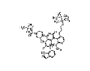 CC(C)c1nccc(CCCO[Si](C)(C)C(C)(C)C)c1-n1c(=O)nc(N2CCN(C(=O)OC(C)(C)C)C[C@@H]2C)c2cc(F)c(-c3cccc4cn[nH]c34)nc21